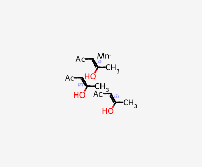 CC(=O)/C=C(/C)O.CC(=O)/C=C(/C)O.CC(=O)/C=C(/C)O.[Mn]